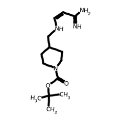 CC(C)(C)OC(=O)N1CCC(CN/C=C\C(=N)N)CC1